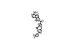 COc1c(CNC(=O)c2cn(Cc3cnc(N4CCC(F)(F)C4)nc3)c(C3CC3)n2)ccc2c(N)nccc12